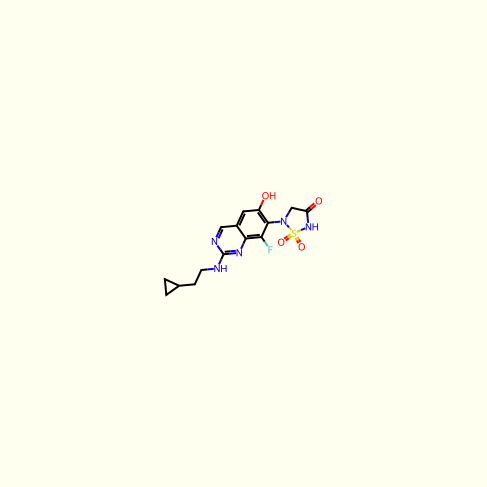 O=C1CN(c2c(O)cc3cnc(NCCC4CC4)nc3c2F)S(=O)(=O)N1